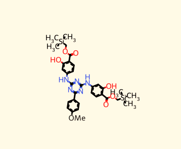 COc1ccc(-c2nc(Nc3ccc(C(=O)OC[Si](C)(C)C)c(O)c3)nc(Nc3ccc(C(=O)OC[Si](C)(C)C)c(O)c3)n2)cc1